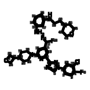 Fc1ccc(-n2cnc(-c3cc(C(F)F)cc(N4CCN(C5COC5)CC4)n3)n2)cc1Cl.Nc1cccc(NCCN2CCOCC2)c1